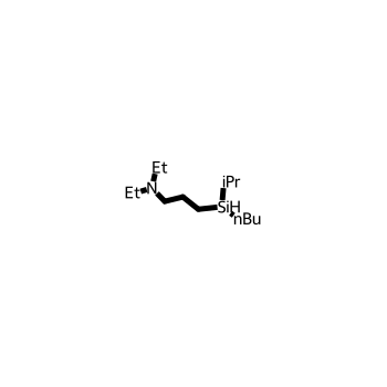 CCCC[SiH](CCCN(CC)CC)C(C)C